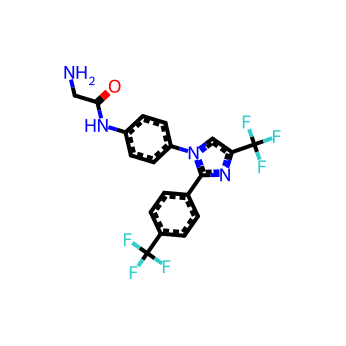 NCC(=O)Nc1ccc(-n2cc(C(F)(F)F)nc2-c2ccc(C(F)(F)F)cc2)cc1